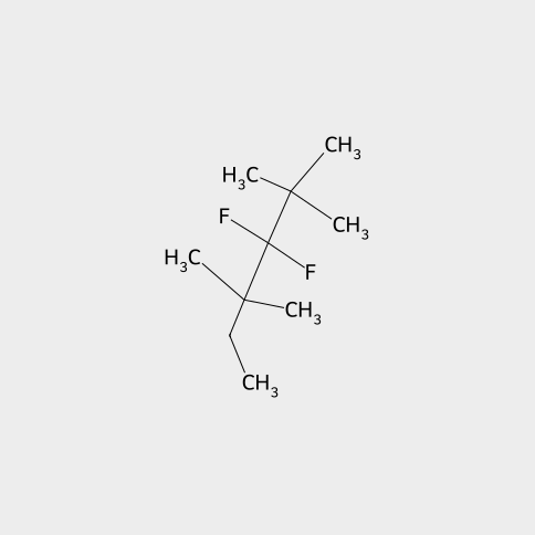 CCC(C)(C)C(F)(F)C(C)(C)C